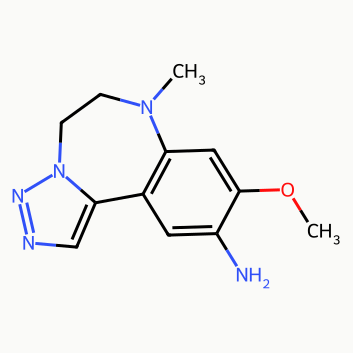 COc1cc2c(cc1N)-c1cnnn1CCN2C